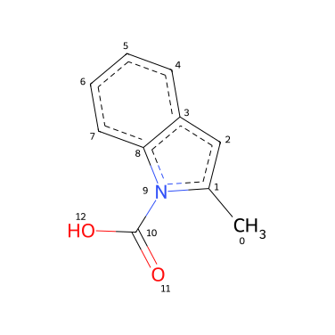 Cc1cc2ccccc2n1C(=O)O